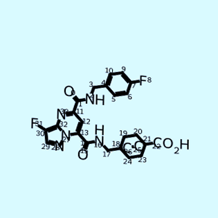 O=C(NCc1ccc(F)cc1)c1cc(C(=O)NCC23CCC(C(=O)O)(CC2)CC3)n2ncc(F)c2n1